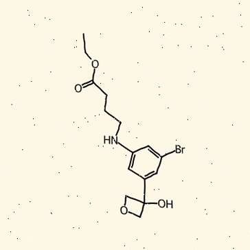 CCOC(=O)CCCNc1cc(Br)cc(C2(O)COC2)c1